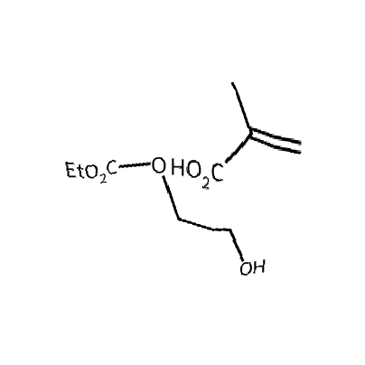 C=C(C)C(=O)O.CCOC(=O)OCCO